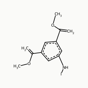 C=C(OC)c1cc(NI)cc(C(=C)OC)c1